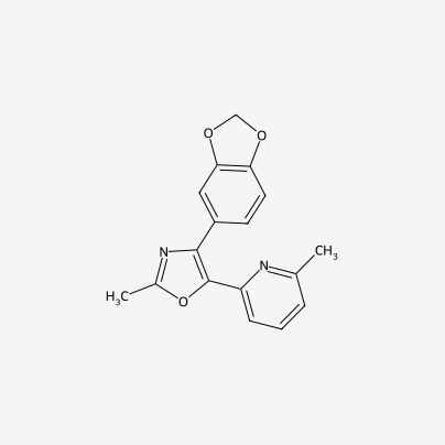 Cc1cccc(-c2oc(C)nc2-c2ccc3c(c2)OCO3)n1